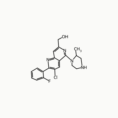 CC1CNCCN1c1nc(CO)cc2nc(-c3ccccc3F)c(Cl)cc12